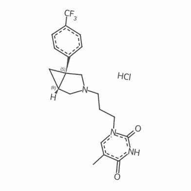 Cc1cn(CCCN2C[C@@H]3C[C@]3(c3ccc(C(F)(F)F)cc3)C2)c(=O)[nH]c1=O.Cl